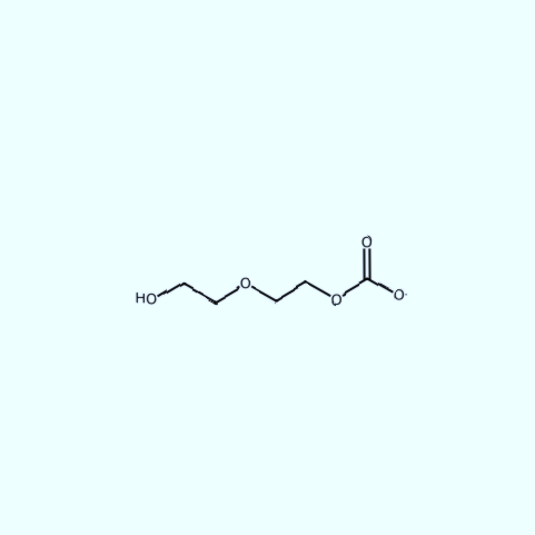 [O]C(=O)OCCOCCO